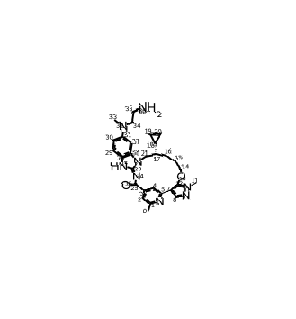 Cc1cc2cc(n1)-c1cnn(C)c1OCCC[C@@H](C1CC1)CN1/C(=N/C2=O)Nc2ccc(N(C)CCN)cc21